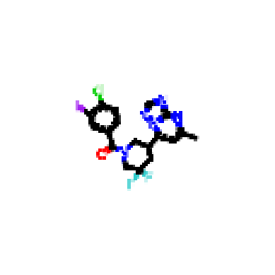 Cc1cc(C2CN(C(=O)c3ccc(Cl)c(I)c3)CC(F)(F)C2)n2ncnc2n1